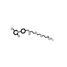 COCCOCCOCCNCc1ccc(-n2cc(Cl)ccc2=O)cc1